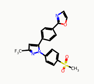 CS(=O)(=O)c1ccc(-n2nc(C(F)(F)F)cc2-c2ccc(-c3ncco3)cc2)cc1